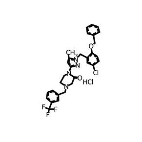 Cc1cc(N2CCN(Cc3cccc(C(F)(F)F)c3)CC2=O)nn1Cc1cc(Cl)ccc1OCc1ccccc1.Cl